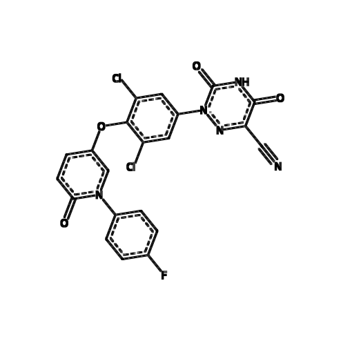 N#Cc1nn(-c2cc(Cl)c(Oc3ccc(=O)n(-c4ccc(F)cc4)c3)c(Cl)c2)c(=O)[nH]c1=O